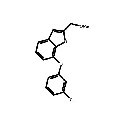 COCc1cc2cccc(Oc3cc[c]c(Cl)c3)c2o1